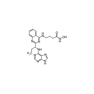 CCC(Nc1ncnc2[nH]cnc12)c1nc(NCCCC(=O)NO)c2ccccc2n1